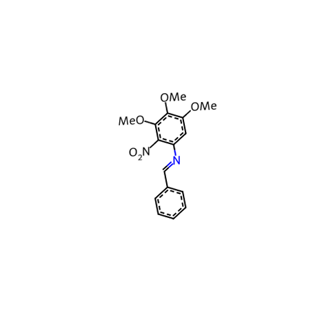 COc1cc(N=Cc2ccccc2)c([N+](=O)[O-])c(OC)c1OC